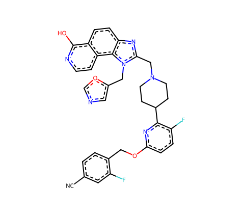 N#Cc1ccc(COc2ccc(F)c(C3CCN(Cc4nc5ccc6c(O)nccc6c5n4Cc4cnco4)CC3)n2)c(F)c1